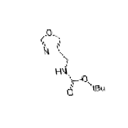 CC(C)(C)OC(=O)NCc1cocn1